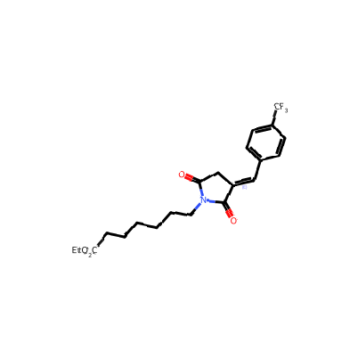 CCOC(=O)CCCCCCN1C(=O)C/C(=C\c2ccc(C(F)(F)F)cc2)C1=O